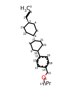 C/C=C/[C@H]1CC[C@H](C2CCC(c3ccc(COCCC)cc3)CC2)CC1